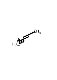 CCCCCCCC1CCC2CC(c3ccc4cc(OC)c(F)c(F)c4c3)CCC2C1